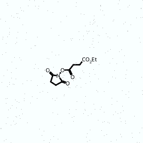 CCOC(=O)CCC(=O)ON1C(=O)CCC1=O